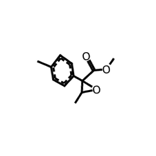 COC(=O)C1(c2ccc(C)cc2)OC1C